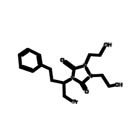 CC(C)CC(CCc1ccccc1)n1c(=O)n(CCO)n(CCO)c1=O